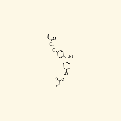 C=CC(=O)OCOc1ccc(C(CC)c2ccc(OCOC(=O)C=C)cc2)cc1